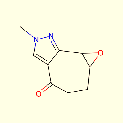 Cn1cc2c(n1)C1OC1CCC2=O